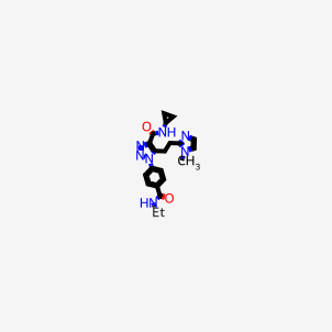 CCNC(=O)c1ccc(-n2nnc(C(=O)NC3CC3)c2CCc2nccn2C)cc1